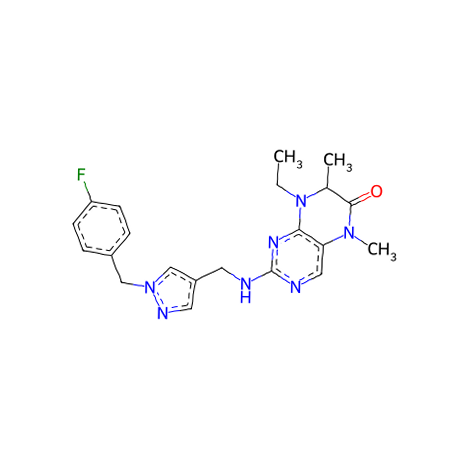 CCN1c2nc(NCc3cnn(Cc4ccc(F)cc4)c3)ncc2N(C)C(=O)C1C